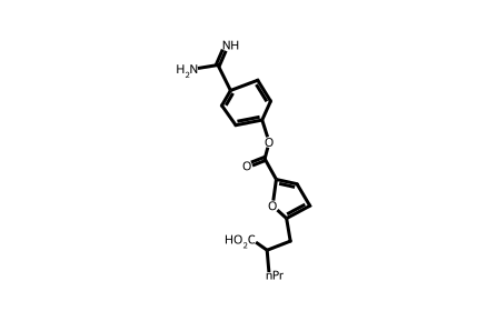 CCCC(Cc1ccc(C(=O)Oc2ccc(C(=N)N)cc2)o1)C(=O)O